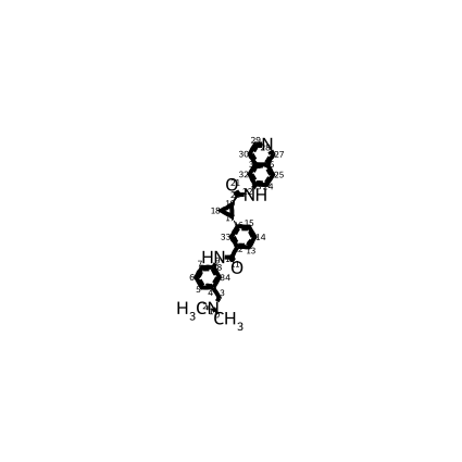 CN(C)Cc1cccc(NC(=O)c2cccc([C@@H]3C[C@H]3C(=O)Nc3ccc4cnccc4c3)c2)c1